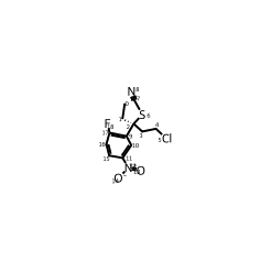 CC[C@@](CCCl)(SC#N)c1cc([N+](=O)[O-])ccc1F